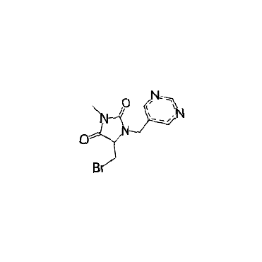 CN1C(=O)C(CBr)N(Cc2cncnc2)C1=O